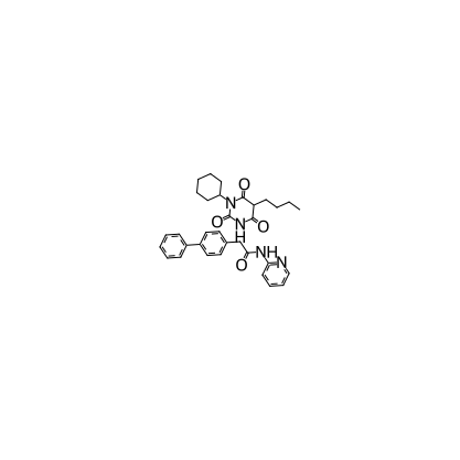 CCCCC1C(=O)NC(=O)N(C2CCCCC2)C1=O.O=C(Cc1ccc(-c2ccccc2)cc1)Nc1ccccn1